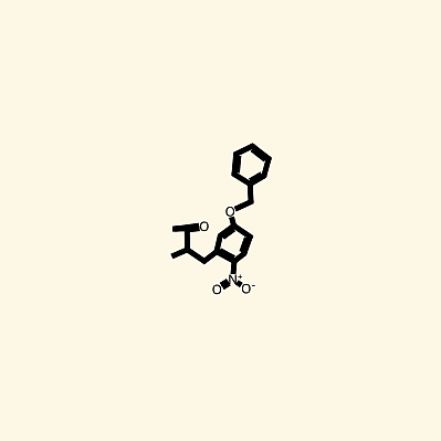 CC(=O)C(C)Cc1cc(OCc2ccccc2)ccc1[N+](=O)[O-]